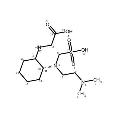 CN(C)CCN(CS(=O)(=O)O)[C@@H]1CCCCC1NCC(=O)O